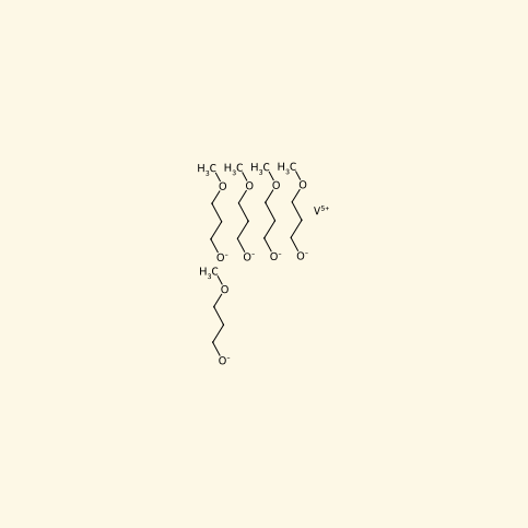 COCCC[O-].COCCC[O-].COCCC[O-].COCCC[O-].COCCC[O-].[V+5]